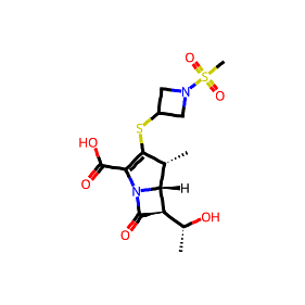 C[C@@H](O)[C@H]1C(=O)N2C(C(=O)O)=C(SC3CN(S(C)(=O)=O)C3)[C@H](C)[C@H]12